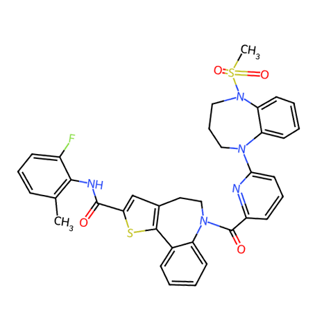 Cc1cccc(F)c1NC(=O)c1cc2c(s1)-c1ccccc1N(C(=O)c1cccc(N3CCCN(S(C)(=O)=O)c4ccccc43)n1)CC2